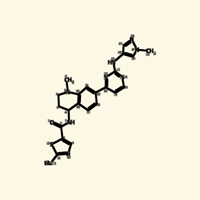 CN1CCC(NC(=O)c2cnc(C(C)(C)C)s2)c2ccc(-c3ccnc(Nc4cnn(C)c4)n3)cc21